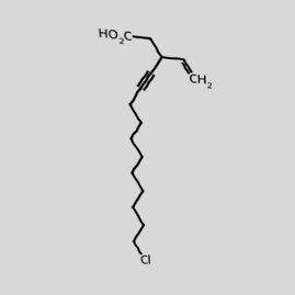 C=CC(C#CCCCCCCCCCCl)CC(=O)O